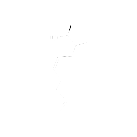 C=CCC/C=C\CC(C)[C@H](C)N